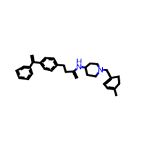 C=C(CCc1ccc(C(=C)c2ccccc2)cc1)NC1CCN(CC2=CC=C(C)CC2)CC1